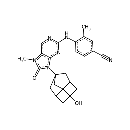 Cc1cc(C#N)ccc1Nc1ncc2c(n1)n(C13CC4CC5(O)CC(C1)C45C3)c(=O)n2C